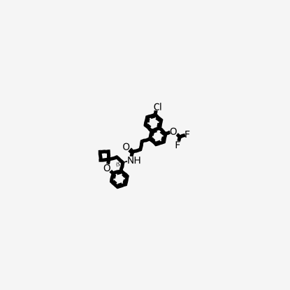 O=C(CCc1ccc(OC(F)F)c2cc(Cl)ccc12)N[C@H]1CC2(CCC2)Oc2ccccc21